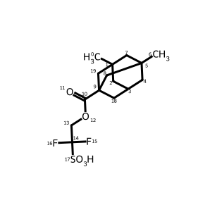 CC12CC3CC(C)(C1)CC(C(=O)OCC(F)(F)S(=O)(=O)O)(C3)C2